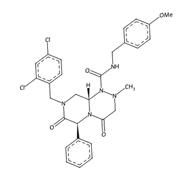 COc1ccc(CNC(=O)N2[C@H]3CN(Cc4ccc(Cl)cc4Cl)C(=O)[C@H](c4ccccc4)N3C(=O)CN2C)cc1